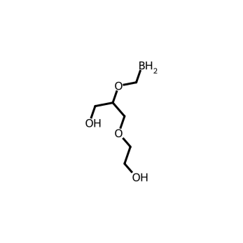 BCOC(CO)COCCO